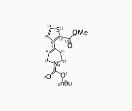 CCCCOC(=O)N1CC=C(c2ccsc2C(=O)OC)CC1